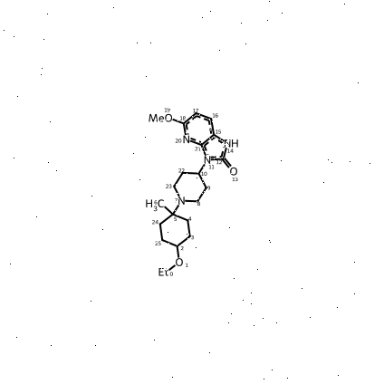 CCOC1CCC(C)(N2CCC(n3c(=O)[nH]c4ccc(OC)nc43)CC2)CC1